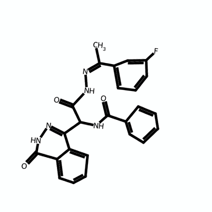 CC(=NNC(=O)C(NC(=O)c1ccccc1)c1n[nH]c(=O)c2ccccc12)c1cccc(F)c1